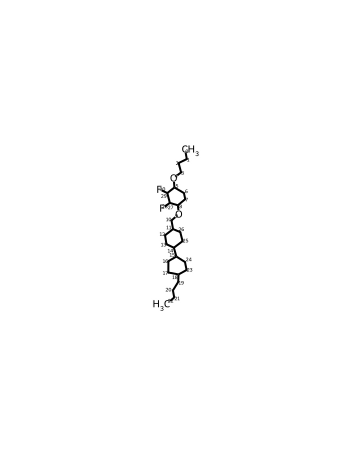 CCCCOC1CCC(OCC2CCC(C3CCC(CCCC)CC3)CC2)C(F)C1F